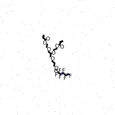 C=CC(=O)OCCOCC(COCCCOOC(F)(F)/C(F)=C(F)/C(F)=C/F)OCCOC(=O)C=C